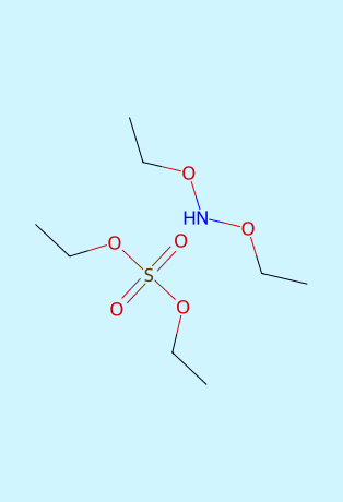 CCONOCC.CCOS(=O)(=O)OCC